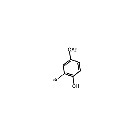 CC(=O)Oc1ccc(O)c(Br)c1